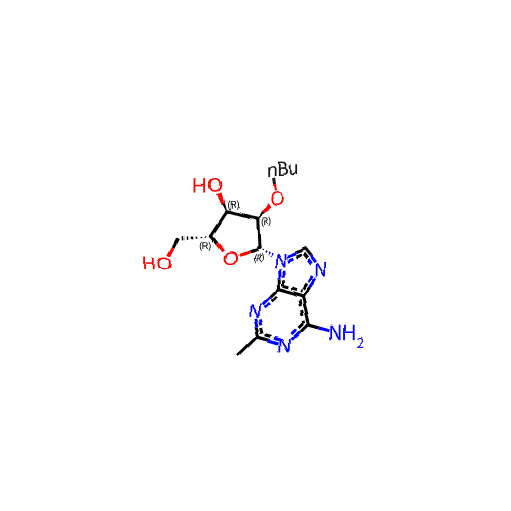 CCCCO[C@@H]1[C@H](O)[C@@H](CO)O[C@H]1n1cnc2c(N)nc(C)nc21